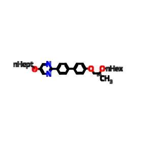 CCCCCCCOc1cnc(-c2ccc(-c3ccc(OC[C@@H](C)OCCCCCC)cc3)cc2)nc1